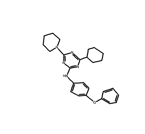 c1ccc(Oc2ccc(Nc3nc(C4CCCCC4)nc(N4CCCCC4)n3)cc2)cc1